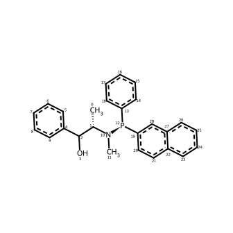 C[C@@H](C(O)c1ccccc1)N(C)[P@@](c1ccccc1)c1ccc2ccccc2c1